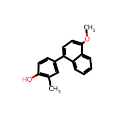 COc1ccc(-c2ccc(O)c(C)c2)c2ccccc12